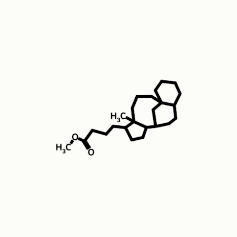 COC(=O)CCCC1CCC2C3CCC4CCCCC4(CCCC12C)C3